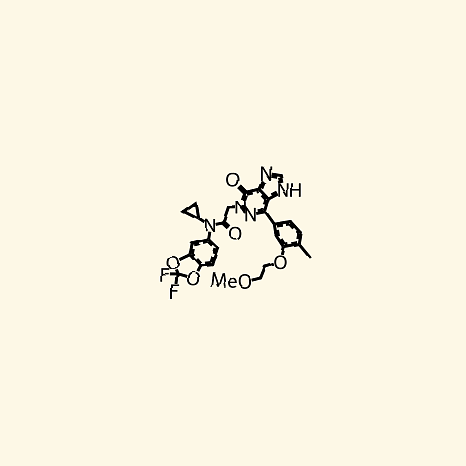 COCCOc1cc(-c2nn(CC(=O)N(c3ccc4c(c3)OC(F)(F)O4)C3CC3)c(=O)c3nc[nH]c23)ccc1C